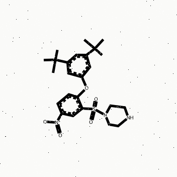 CC(C)(C)c1cc(Oc2ccc([N+](=O)[O-])cc2S(=O)(=O)N2CCNCC2)cc(C(C)(C)C)c1